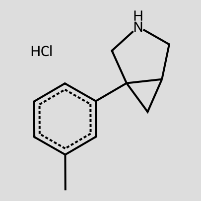 Cc1cccc(C23CNCC2C3)c1.Cl